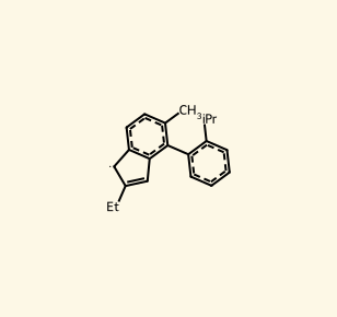 CCC1=Cc2c(ccc(C)c2-c2ccccc2C(C)C)[CH]1